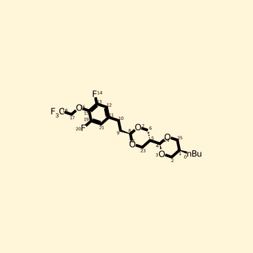 CCCC[C@H]1CO[C@H]([C@H]2CO[C@H](CCc3cc(F)c(OCC(F)(F)F)c(F)c3)OC2)OC1